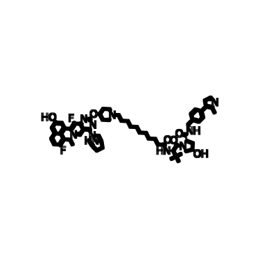 CCc1c(F)ccc2cc(O)cc(-c3ncc4c(N5CC6CCC(C5)N6)nc(OC5CCN(CCCCCCCCCCC(=O)N[C@H](C(=O)N6C[C@H](O)C[C@H]6C(=O)NCc6ccc(C7=C(C)N=CC7)cc6)C(C)(C)C)CC5)nc4c3F)c12